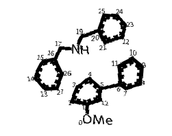 COc1cccc(-c2ccccc2)c1.c1ccc(CNCc2ccccc2)cc1